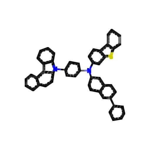 c1ccc(-c2ccc3cc(N(c4ccc(-n5c6ccccc6c6c7ccccc7ccc65)cc4)c4ccc5c(c4)sc4ccccc45)ccc3c2)cc1